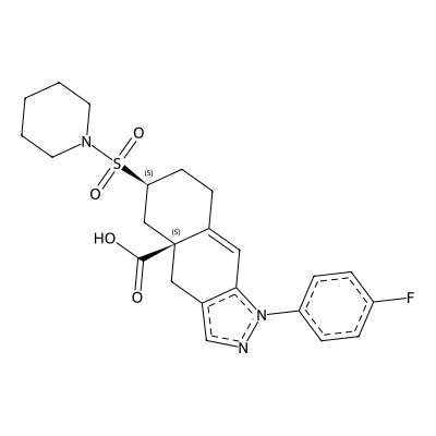 O=C(O)[C@]12Cc3cnn(-c4ccc(F)cc4)c3C=C1CC[C@H](S(=O)(=O)N1CCCCC1)C2